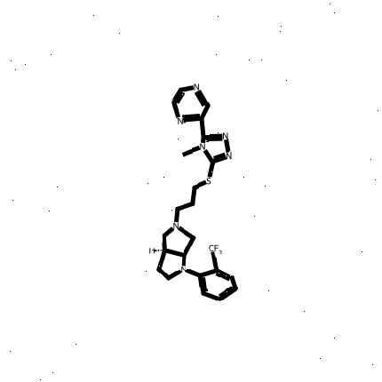 Cn1c(SCCCN2CC3[C@@H](CCN3c3ccccc3C(F)(F)F)C2)nnc1-c1cnccn1